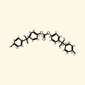 Cc1ccc(C(C)(C)c2ccc(OC(=O)Oc3ccc(C(C)(C)c4ccc(C)cc4)cc3)cc2)cc1